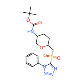 CC(C)(C)OC(=O)NC1CCC(CS(=O)(=O)c2nnnn2-c2ccccc2)OC1